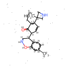 CC(C)CC1=C(C2(C(=O)O)CNC2)C=CC(C2C=NOc3cc(C(F)(F)F)ccc32)C1=O